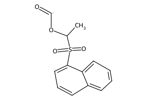 CC(O[C]=O)S(=O)(=O)c1cccc2ccccc12